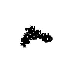 Cc1cnc2[nH]c3c(OC[C@H](O)CN4CCOCC4)ccc(-c4cccc(S(=O)(=O)C5CC5)c4)c3c2c1